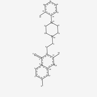 Cc1ccn2c(=O)c(CCN3CCN(c4ccccc4C)CC3)c(C)nc2c1